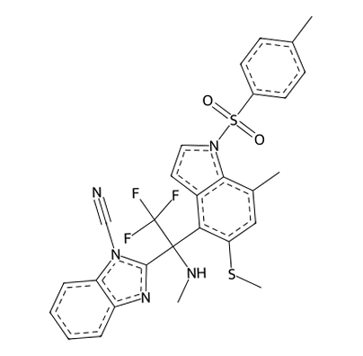 CNC(c1c(SC)cc(C)c2c1ccn2S(=O)(=O)c1ccc(C)cc1)(c1nc2ccccc2n1C#N)C(F)(F)F